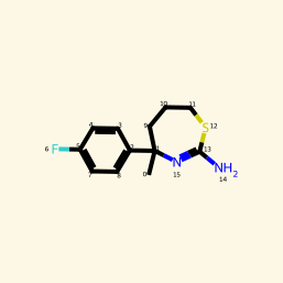 CC1(c2ccc(F)cc2)CCCSC(N)=N1